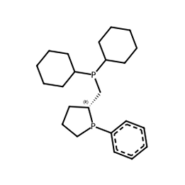 c1ccc(P2CCC[C@@H]2CP(C2CCCCC2)C2CCCCC2)cc1